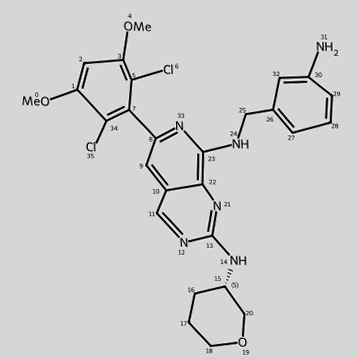 COc1cc(OC)c(Cl)c(-c2cc3cnc(N[C@H]4CCCOC4)nc3c(NCc3cccc(N)c3)n2)c1Cl